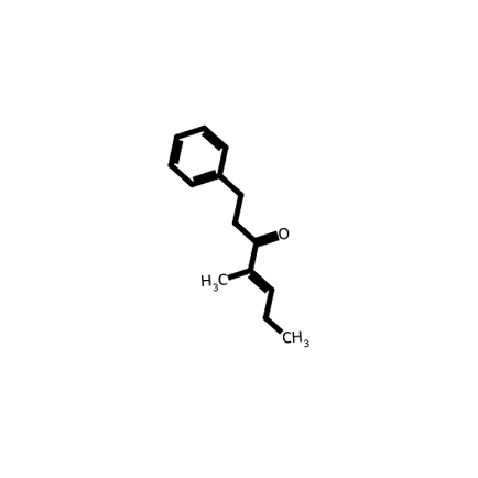 CC/C=C(\C)C(=O)CCc1ccccc1